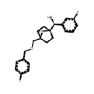 O[C@@H](c1cccc(F)c1)C12CCC(COCc3ccc(F)cc3)(CC1)N2